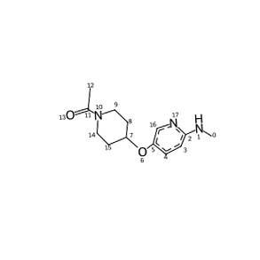 CNc1ccc(OC2CCN(C(C)=O)CC2)cn1